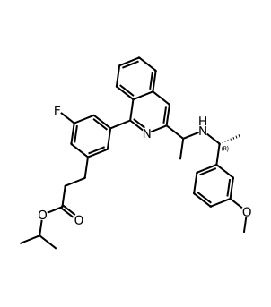 COc1cccc([C@@H](C)NC(C)c2cc3ccccc3c(-c3cc(F)cc(CCC(=O)OC(C)C)c3)n2)c1